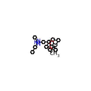 Cc1ccccc1-c1ccccc1C12CCCC3(c4cccc(-c5ccc(-c6nc(-c7ccccc7)nc(-c7ccc(-c8ccccc8)cc7)n6)cc5)c4-c4ccccc4C)CCCCC4(CC(CC1)c1ccccc1-c1ccccc14)C23